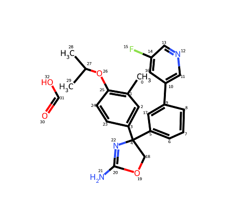 Cc1cc(C2(c3cccc(-c4cncc(F)c4)c3)COC(N)=N2)ccc1OC(C)C.O=CO